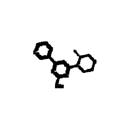 CSc1nc(-c2cccnc2)cc(N2CCOC[C@H]2C)n1